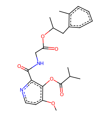 COc1ccnc(C(=O)NCC(=O)OC(C)Cc2ccccc2C)c1OC(=O)C(C)C